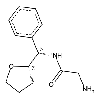 NCC(=O)N[C@@H](c1ccccc1)[C@@H]1CCCO1